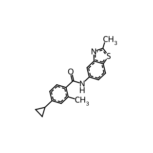 Cc1nc2cc(NC(=O)c3ccc(C4CC4)cc3C)ccc2s1